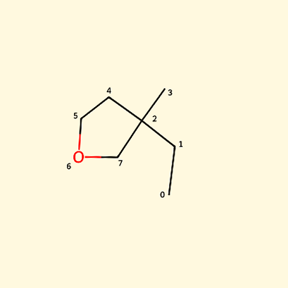 CCC1(C)CCOC1